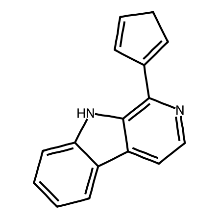 C1=CC(c2nccc3c2[nH]c2ccccc23)=CC1